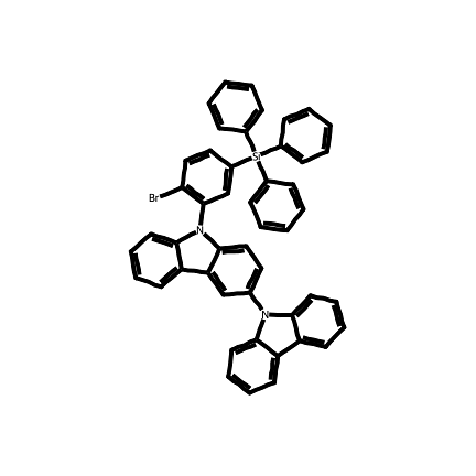 Brc1ccc([Si](c2ccccc2)(c2ccccc2)c2ccccc2)cc1-n1c2ccccc2c2cc(-n3c4ccccc4c4ccccc43)ccc21